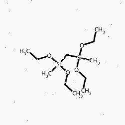 CCO[Si](C)(C[Si](C)(OCC)OCC)OCC